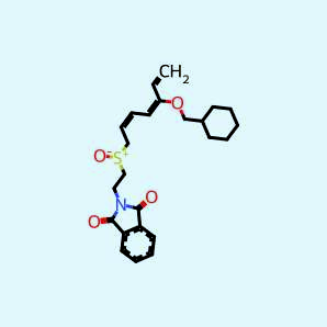 C=C/C(=C\C=C/C[S+]([O-])CCN1C(=O)c2ccccc2C1=O)OCC1CCCCC1